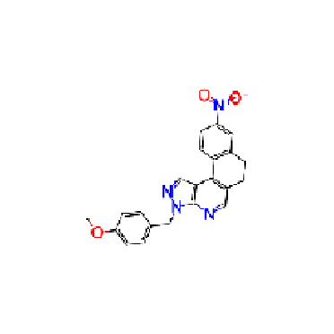 COc1ccc(Cn2ncc3c4c(cnc32)CCc2cc([N+](=O)[O-])ccc2-4)cc1